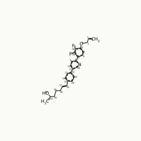 C=CCOc1ccc(-c2ccc(-c3ccc(C=CCCCC(C)O)cc3)cn2)c(F)c1F